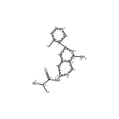 Cc1ccncc1-c1cc2cc(NC(=O)C(C)C#N)ncc2c(N)n1